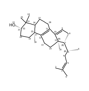 CC(C)=CC[C@@H](C)[C@H]1CC=C2C3=C(CC[C@@]21C)[C@@]1(C)CC[C@H](O)C(C)(C)C1CC3